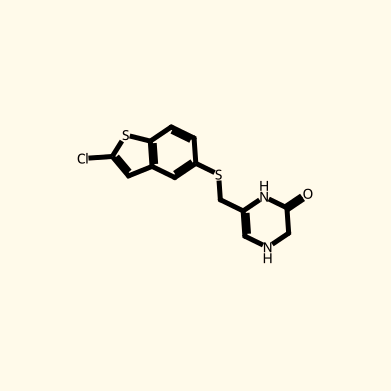 O=C1CNC=C(CSc2ccc3sc(Cl)cc3c2)N1